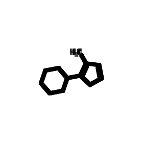 CC1=C(C2CCCCC2)[CH]C=C1